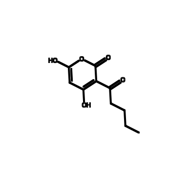 CCCCC(=O)c1c(O)cc(O)oc1=O